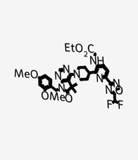 CCOC(=O)CNc1ccc(-c2noc(C(F)F)n2)nc1C1CCN(c2ncnc3c2C(C)(C)C(=O)N3Cc2ccc(OC)cc2OC)CC1